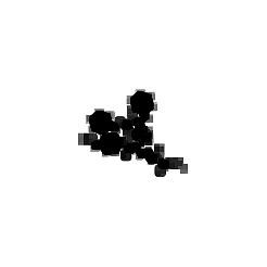 NC(=O)NCCC[C@@H](C(=O)Nc1ccc(CO)cc1)n1cc([C@H](Cc2ccccc2)NC(=O)OCc2ccccc2)nn1